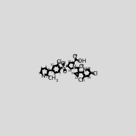 Cc1ncccc1-c1ccc(S(=O)(=O)[C@@H]2C[C@@H](C(=O)O)N(C(=O)C3(c4ncc(Cl)cc4Cl)CC3)C2)c(Cl)c1